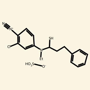 CCN(c1ccc([N+]#N)c(Cl)c1)C(S)CCc1ccccc1.O=S(=O)([O-])O